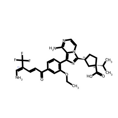 CCOc1cc(C(=O)C=C/C(=C\N)C(F)(F)F)ccc1-c1nc([C@H]2CC[C@](C(=O)O)(C(C)C)C2)n2ccnc(N)c12